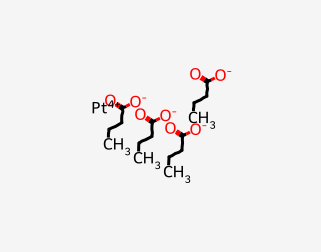 CCCC(=O)[O-].CCCC(=O)[O-].CCCC(=O)[O-].CCCC(=O)[O-].[Pt+4]